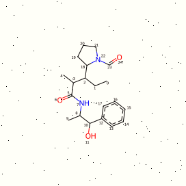 CCC(C(C)C(=O)NC(C)C(O)c1ccccc1)C1CCCN1C=O